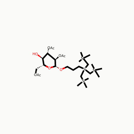 CC(=O)OC[C@H]1O[C@@H](OCCC[Si](C[Si](C)(C)C)(C[Si](C)(C)C)C[Si](C)(C)C)[C@H](OC(C)=O)[C@@H](OC(C)=O)[C@@H]1O